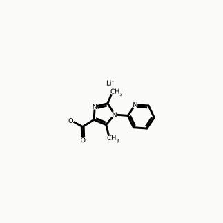 Cc1nc(C(=O)[O-])c(C)n1-c1ccccn1.[Li+]